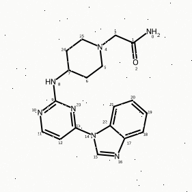 NC(=O)CN1CCC(Nc2nccc(-n3cnc4ccccc43)n2)CC1